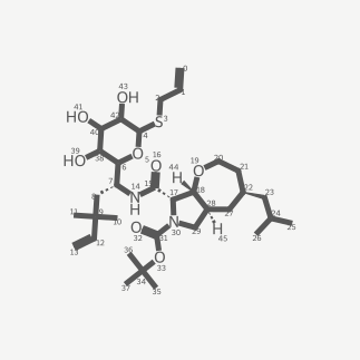 C=CCSC1OC([C@@H](CC(C)(C)C=C)NC(=O)[C@@H]2[C@@H]3OCC[C@@H](CC(C)C)C[C@H]3CN2C(=O)OC(C)(C)C)C(O)C(O)C1O